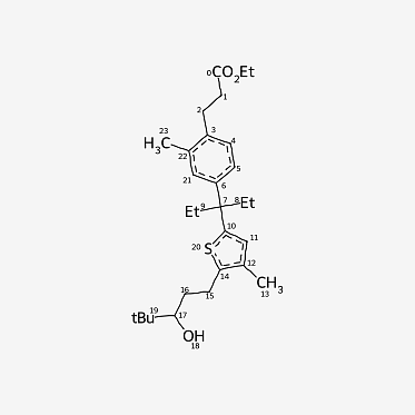 CCOC(=O)CCc1ccc(C(CC)(CC)c2cc(C)c(CCC(O)C(C)(C)C)s2)cc1C